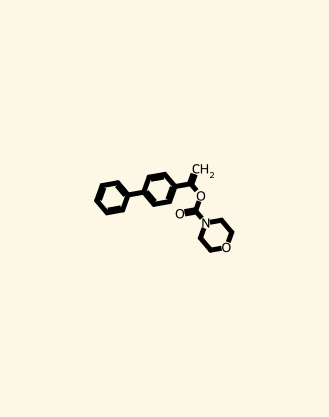 C=C(OC(=O)N1CCOCC1)c1ccc(-c2ccccc2)cc1